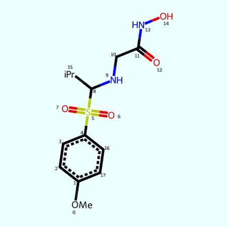 COc1ccc(S(=O)(=O)C(NCC(=O)NO)C(C)C)cc1